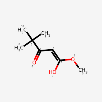 CO/C(O)=C/C(=O)C(C)(C)C